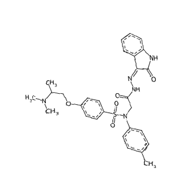 Cc1ccc(N(CC(=O)N/N=C2\C(=O)Nc3ccccc32)S(=O)(=O)c2ccc(OCC(C)N(C)C)cc2)cc1